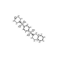 O=S(=O)(c1ccc(S(=O)(=O)N2CCc3ccccc3C2)cc1)N1CCOCC1